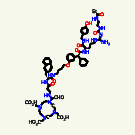 CCC(=O)NCCNC(=O)/N=C(/N)NCCC[C@@H](NC(=O)[C@@H](c1ccccc1)c1cccc(OCCCCNC(=O)[C@@H](Cc2ccc3ccccc3c2)NC(=O)CCNC(C=O)N2CCN(CC(=O)O)CCN(CC(=O)O)CCN(CC(=O)O)CC2)c1)C(=O)NCc1ccc(O)cc1